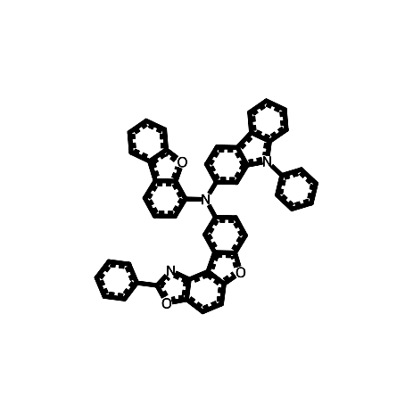 c1ccc(-c2nc3c(ccc4oc5ccc(N(c6ccc7c8ccccc8n(-c8ccccc8)c7c6)c6cccc7c6oc6ccccc67)cc5c43)o2)cc1